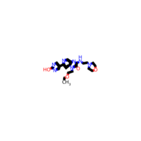 CCOCCn1c(=O)c(NCCN2CCOCC2)nc2cnc(-c3cnc(O)nc3)cc21